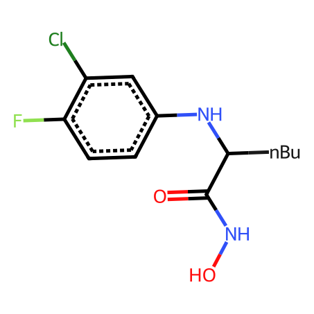 CCCCC(Nc1ccc(F)c(Cl)c1)C(=O)NO